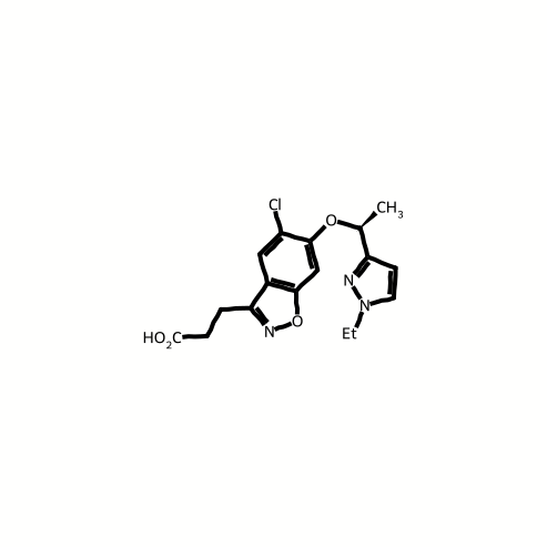 CCn1ccc([C@H](C)Oc2cc3onc(CCC(=O)O)c3cc2Cl)n1